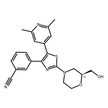 Cc1cc(-c2sc(N3CCO[C@H](CO)C3)nc2-c2cccc(C#N)c2)cc(C)n1